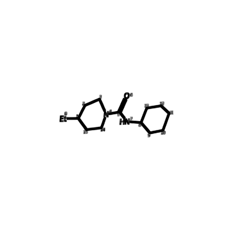 CCC1CCN(C(=O)NC2CCCCC2)CC1